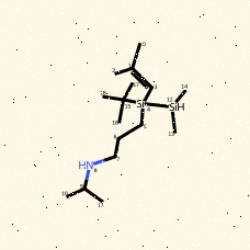 CC(C)=C[Si](CCCNC(C)C)([SiH](C)C)C(C)(C)C